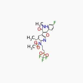 CCc1cc2c(C(=O)NC)c(-c3ccc(F)cc3)oc2nc1N(CCCS(=O)(=O)C(F)(F)F)S(C)(=O)=O